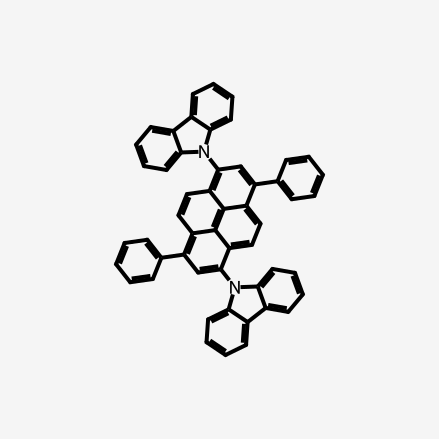 c1ccc(-c2cc(-n3c4ccccc4c4ccccc43)c3ccc4c(-c5ccccc5)cc(-n5c6ccccc6c6ccccc65)c5ccc2c3c45)cc1